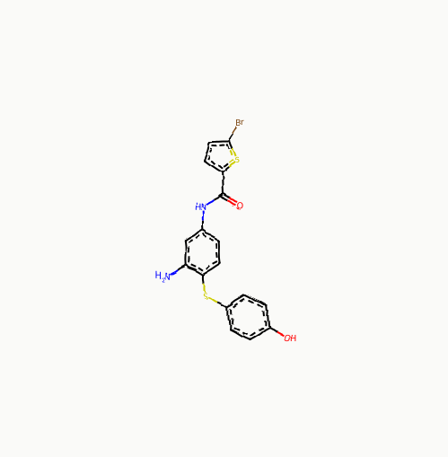 Nc1cc(NC(=O)c2ccc(Br)s2)ccc1Sc1ccc(O)cc1